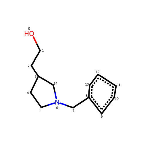 OCCC1CCN(Cc2ccccc2)C1